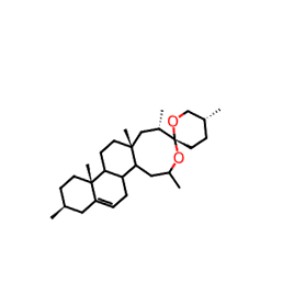 CC1CC2C3CC=C4C[C@@H](C)CC[C@]4(C)C3CC[C@]2(C)C[C@H](C)[C@@]2(CC[C@@H](C)CO2)O1